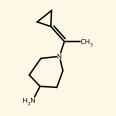 CC(=C1CC1)N1CCC(N)CC1